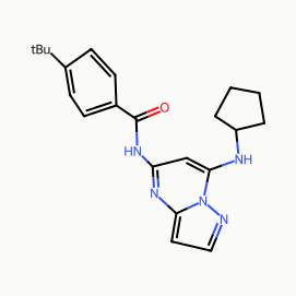 CC(C)(C)c1ccc(C(=O)Nc2cc(NC3CCCC3)n3nccc3n2)cc1